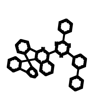 c1ccc(-c2cccc(-c3nc(-c4ccccc4)nc(-c4nc5c(c6ccccc46)C4(c6ccccc6-c6ccccc64)c4ccccc4-5)n3)c2)cc1